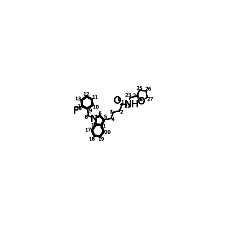 O=C(CCCc1cn(Cc2ccccc2F)c2ccccc12)NCC1CCCO1